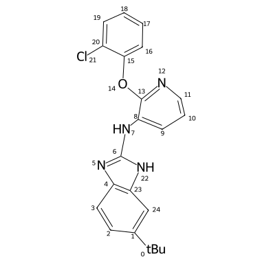 CC(C)(C)c1ccc2nc(Nc3cccnc3Oc3ccccc3Cl)[nH]c2c1